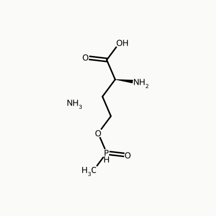 C[PH](=O)OCC[C@H](N)C(=O)O.N